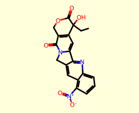 CCC1(O)C(=O)OCc2c1cc1n(c2=O)Cc2cc3c([N+](=O)[O-])cccc3nc2-1